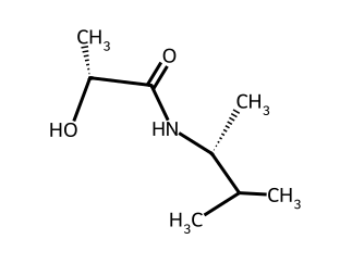 CC(C)[C@@H](C)NC(=O)[C@@H](C)O